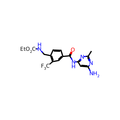 CCOC(=O)NCc1ccc(C(=O)Nc2cc(N)nc(C)n2)cc1C(F)(F)F